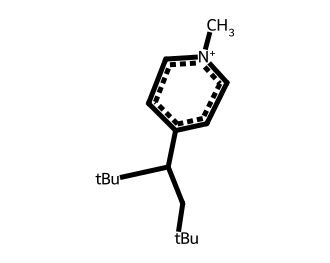 C[n+]1ccc(C(CC(C)(C)C)C(C)(C)C)cc1